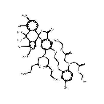 CC(=O)OCOC(=O)CN(CC(=O)OCOC(C)=O)c1ccc(C)cc1OCCOc1cc2c(cc1N(CC(=O)OCOC(C)=O)CC(=O)OCOC(C)=O)C1(OC2=O)c2ccc(OC(C)=O)c(Cl)c2C(C)(C)c2c1ccc(OC(C)=O)c2Cl